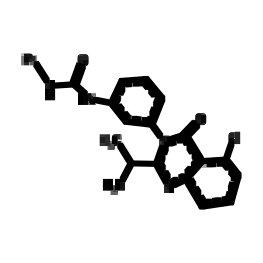 CC(C)NC(=O)Nc1cccc(-n2c(C(C)N)nc3cccc(Cl)c3c2=O)c1